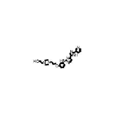 OCCN1CCN(CCCOc2cccc(Nc3nccc(-c4cnc(-c5cccnc5)[nH]4)n3)c2)CC1